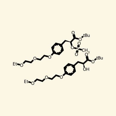 CCOCCOCCOc1ccc(C[C@H](O)C(=O)OC(C)(C)C)cc1.CCOCCOCCOc1ccc(C[C@H](OS(C)(=O)=O)C(=O)OC(C)(C)C)cc1